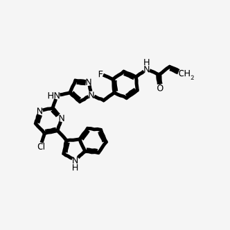 C=CC(=O)Nc1ccc(Cn2cc(Nc3ncc(Cl)c(-c4c[nH]c5ccccc45)n3)cn2)c(F)c1